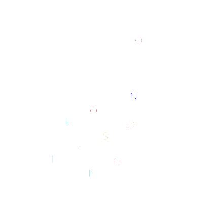 O=S(=O)(ON1CCOCC1)C(F)(F)F